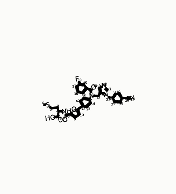 CSCCC(NC(=O)c1ccc(-c2ccc(N(Cc3cncn3Cc3ccc(C#N)cc3)C(=O)c3cccc(F)c3)cc2)o1)C(=O)O